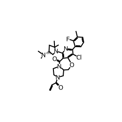 C=CC(=O)N1CCN2C(=O)c3c(N4C[C@H](N(C)C)CC4(C)C)nc(-c4cccc(C)c4F)c(Cl)c3OCC2C1